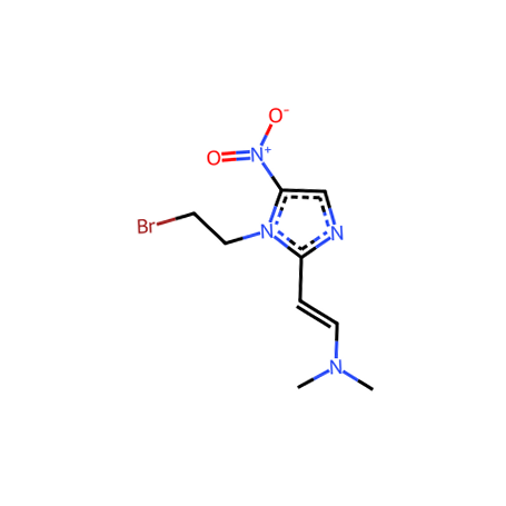 CN(C)/C=C/c1ncc([N+](=O)[O-])n1CCBr